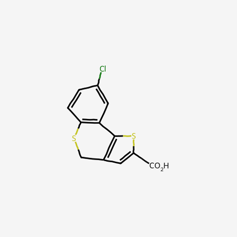 O=C(O)c1cc2c(s1)-c1cc(Cl)ccc1SC2